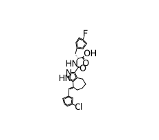 O=C(N[C@H](Cc1ccc(F)cc1)C(=O)O)c1n[nH]c2c1CCCCC2=Cc1cccc(Cl)c1